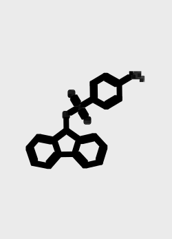 Nc1ccc(S(=O)(=O)OC2c3ccccc3-c3ccccc32)cc1